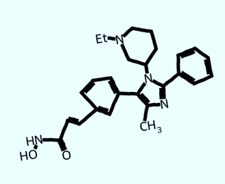 CCN1CCCC(n2c(-c3ccccc3)nc(C)c2-c2cccc(C=CC(=O)NO)c2)C1